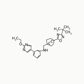 CCOc1ncc(-c2cccc(NCC34CCC(c5nc(C(C)(C)C)no5)(CC3)CC4)c2)cn1